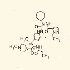 CCC(=O)N[C@@H](C(=O)N1CCN(C)CC1)[C@@H](CC)c1ccc(NC(=O)N(NC(=O)c2ccnn2CC)C2CCCCCC2)cc1